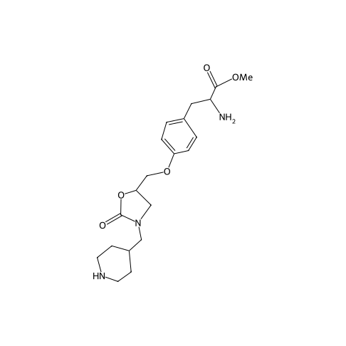 COC(=O)C(N)Cc1ccc(OCC2CN(CC3CCNCC3)C(=O)O2)cc1